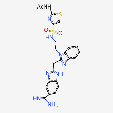 CC(=O)Nc1nc(S(=O)(=O)NCCn2c(Cc3nc4cc(C(=N)N)ccc4[nH]3)nc3ccccc32)cs1